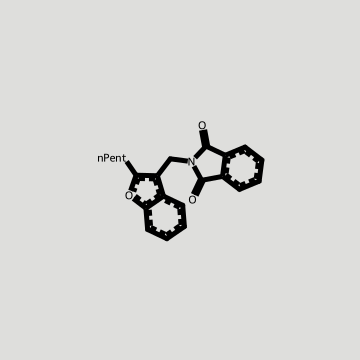 CCCCCc1oc2ccccc2c1CN1C(=O)c2ccccc2C1=O